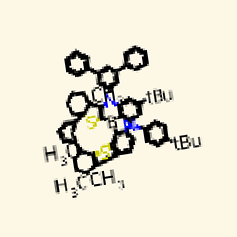 CC(C)(C)c1ccc(N2c3cc(C(C)(C)C)cc4c3B3C5=C(N4c4cc(-c6ccccc6)cc(-c6ccccc6)c4)C4(C)CCCCC4(S5)c4cccc(c4)C4(C)CCC(C)(C)c5c4sc4c3c2ccc54)cc1